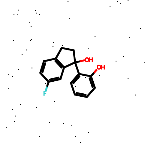 Oc1ccccc1C1(O)CCc2ccc(F)cc21